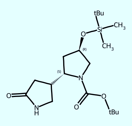 CC(C)(C)OC(=O)N1C[C@H](O[Si](C)(C)C(C)(C)C)C[C@H]1C1CNC(=O)C1